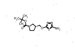 CC(C)(C)OC(=O)N1CC[C@H](COc2nnc(N)s2)C1